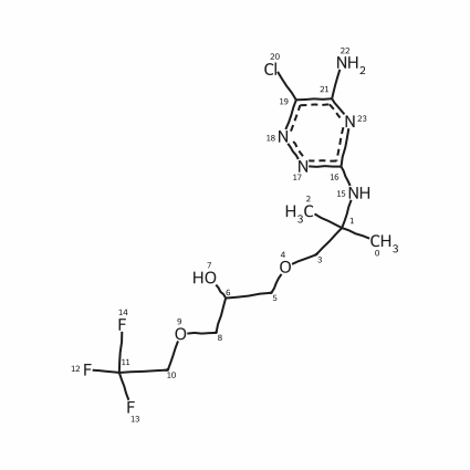 CC(C)(COCC(O)COCC(F)(F)F)Nc1nnc(Cl)c(N)n1